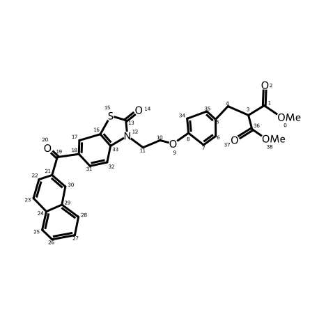 COC(=O)C(Cc1ccc(OCCn2c(=O)sc3cc(C(=O)c4ccc5ccccc5c4)ccc32)cc1)C(=O)OC